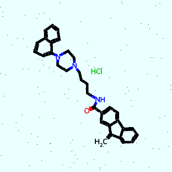 C=C1c2ccccc2-c2ccc(C(=O)NCCCCN3CCN(c4cccc5ccccc45)CC3)cc21.Cl